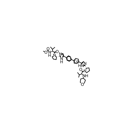 COC(=O)N[C@H](C(=O)N1CCC[C@H]1c1ncc(-c2ccc(C34CCC(c5cnc([C@@H]6CCCN6C(=O)[C@@H](NC6CCOCC6)C(C)C)[nH]5)(CC3)CC4)cc2)[nH]1)C(C)C